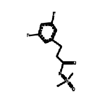 CS(C)(=O)=NC(=O)CCc1cc(F)cc(F)c1